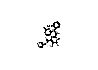 Cc1nccc([C@@H](c2ccccc2C#N)[C@H](C)c2nc(C(=O)Nc3cnoc3)c(O)c(=O)n2C)n1